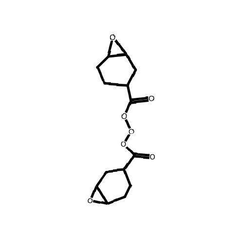 O=C(OOOC(=O)C1CCC2OC2C1)C1CCC2OC2C1